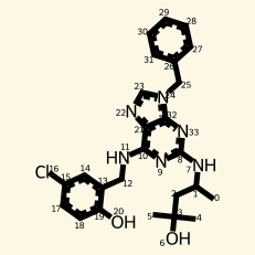 CC(CC(C)(C)O)Nc1nc(NCc2cc(Cl)ccc2O)c2ncn(Cc3ccccc3)c2n1